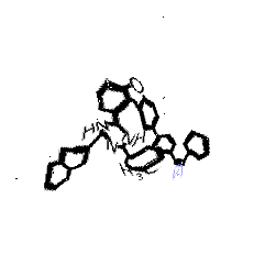 Cc1cc(-c2ccc3oc4cccc(C5NC(C6=CC=C7C=CCCC7C6)=NC(c6ccccc6)N5)c4c3c2)ccc1/C=C\c1ccccc1